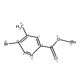 Cc1cc(C(=O)OC(C)(C)C)ncc1Br